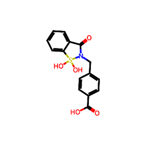 O=C(O)c1ccc(CN2C(=O)c3ccccc3S2(O)O)cc1